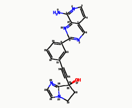 Nc1nccc2cnc(-c3cccc(C#C[C@]4(O)CCn5ccnc54)c3)nc12